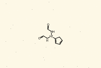 O=C[NH][Hf]([NH]C=O)[C]1=CC=CC1